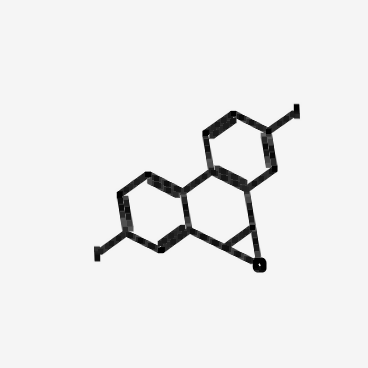 Ic1ccc2c(c1)C1OC1c1cc(I)ccc1-2